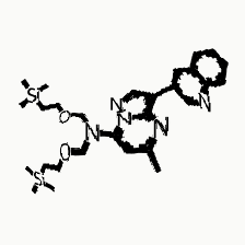 Cc1cc(N(COCC[Si](C)(C)C)COCC[Si](C)(C)C)n2ncc(-c3cnc4ccccc4c3)c2n1